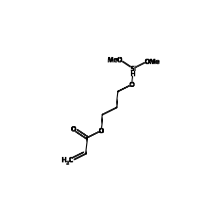 C=CC(=O)OCCCO[SiH](OC)OC